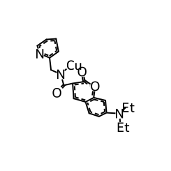 CCN(CC)c1ccc2cc(C(=O)[N]([Cu])Cc3ccccn3)c(=O)oc2c1